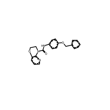 O=C(Nc1ccc(OCc2ccccc2)cc1)N1CCOc2cccnc21